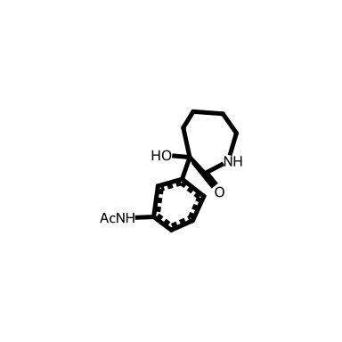 CC(=O)Nc1cccc(C2(O)CCCCNC2=O)c1